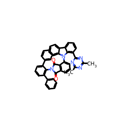 Cc1nc(C)nc(-c2cccc3c4ccccc4n(-c4cccc5c4C(=O)N(c4c(-c6ccccc6)cccc4-c4ccccc4)C5=O)c23)n1